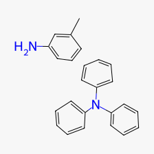 Cc1cccc(N)c1.c1ccc(N(c2ccccc2)c2ccccc2)cc1